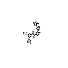 Cc1cn(-c2cc(NC(=O)c3ccc(C)c(-n4cc(-c5cnn(C)c5C)nn4)c3)cc(C(F)(F)F)c2)cn1